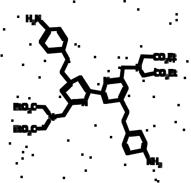 CCOC(=O)CN(CC(=O)OCC)Cc1cc(CCc2ccc(N)cc2)cc(-c2cc(CCc3ccc(N)cc3)cc(CN(CC(=O)OCC)CC(=O)OCC)n2)n1